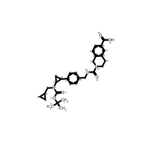 CC(C)(C)OC(=O)N(CC1CC1)C1CC1c1ccc(COC(=O)N2CCc3cc(C(=O)O)ccc3C2)cc1